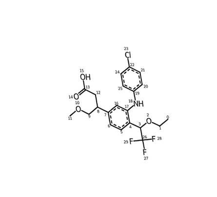 CCOC(c1ccc(C(COC)CC(=O)O)cc1Nc1ccc(Cl)cc1)C(F)(F)F